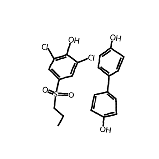 CCCS(=O)(=O)c1cc(Cl)c(O)c(Cl)c1.Oc1ccc(-c2ccc(O)cc2)cc1